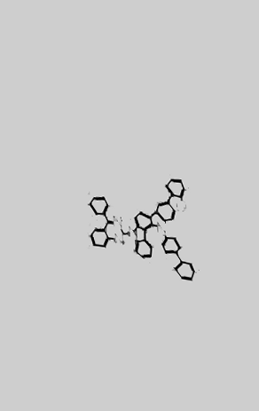 c1ccc(-c2ccc(-n3c4cc5oc6ccccc6c5cc4c4ccc5c(c6ccccc6n5-c5nc(-c6ccccc6)c6ccccc6n5)c43)cc2)cc1